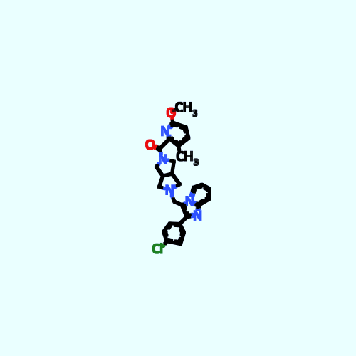 COc1ccc(C)c(C(=O)N2CC3CN(Cc4c(-c5ccc(Cl)cc5)nc5ccccn45)CC3C2)n1